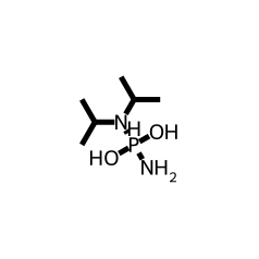 CC(C)N(C(C)C)[PH](N)(O)O